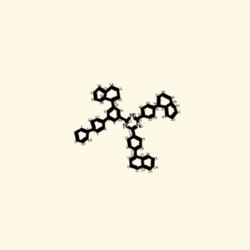 c1ccc(-c2ccc(-c3cc(-c4nc(-c5ccc(-c6cccc7ccccc67)cc5)nc(-c5ccc(-c6cccc7ccccc67)cc5)n4)cc(-c4cccc5ccccc45)c3)cc2)cc1